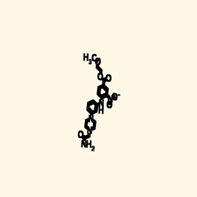 COCCOC(=O)c1ccc(Nc2cccc(N3CCN(CC(N)=O)CC3)c2)c([N+](=O)[O-])c1